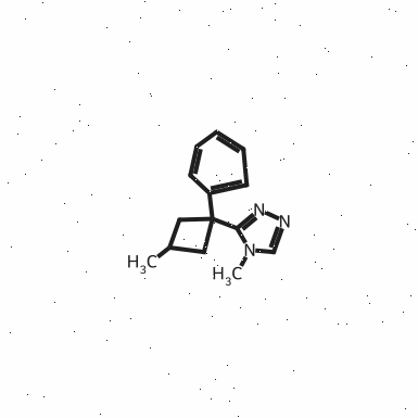 CC1CC(c2ccccc2)(c2nncn2C)C1